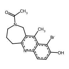 CC(=O)N1CCCc2nc3ccc(O)c(Br)c3c(C)c2C1